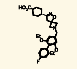 CCOc1cc(CN2CC3(CC([C@H]4CC[C@H](C(=O)O)CC4)=NO3)C2)cc(OCC)c1-c1ccc(F)cc1